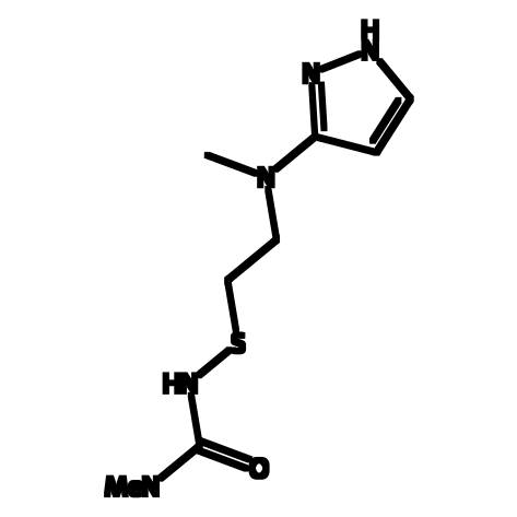 CNC(=O)NSCCN(C)c1cc[nH]n1